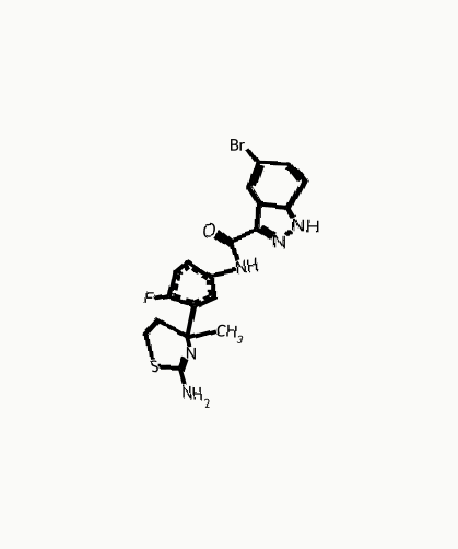 CC1(c2cc(NC(=O)C3=NNC4C=CC(Br)=CC34)ccc2F)CCSC(N)=N1